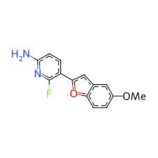 COc1ccc2oc(-c3ccc(N)nc3F)cc2c1